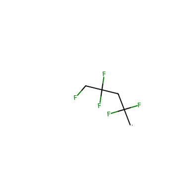 [CH2]C(F)(F)CC(F)(F)CF